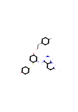 Cc1ccc2c(Nc3cc(OCCc4ccc(Br)cc4)ccc3Sc3ccc(O)cc3)ncnc2n1